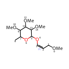 COC/C=C\OC1OC(C)C(OC)C(OC)C1OC